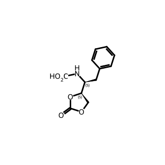 O=C(O)N[C@@H](Cc1ccccc1)[C@H]1COC(=O)O1